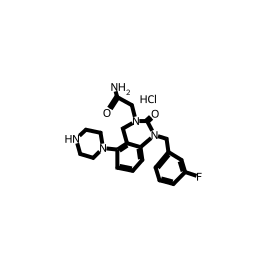 Cl.NC(=O)CN1Cc2c(N3CCNCC3)cccc2N(Cc2cccc(F)c2)C1=O